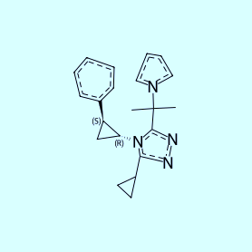 CC(C)(c1nnc(C2CC2)n1[C@@H]1C[C@H]1c1ccccc1)n1cccc1